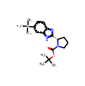 CC(C)(C)OC(=O)N1CCC[C@H]1c1nc2ccc([Si](C)(C)C)cc2[nH]1